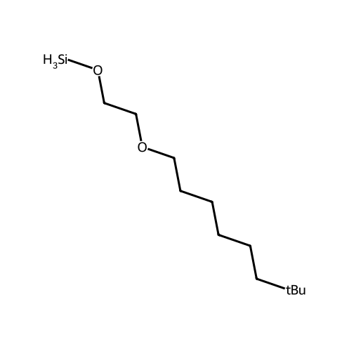 CC(C)(C)CCCCCCOCCO[SiH3]